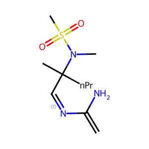 C=C(N)/N=C\C(C)(CCC)N(C)S(C)(=O)=O